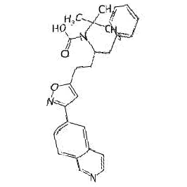 CC(C)(C)N(C(=O)O)C(CCc1cc(-c2ccc3cnccc3c2)no1)Cc1ccccc1